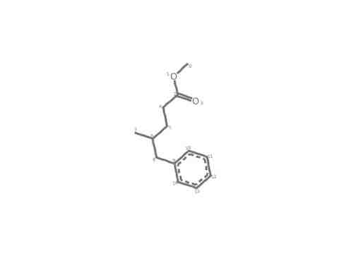 COC(=O)CCC(C)Cc1ccccc1